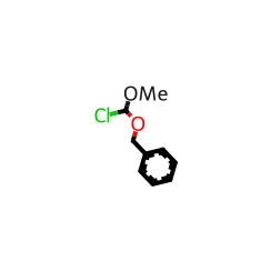 COC(Cl)OCc1ccccc1